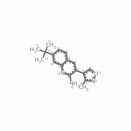 Cc1nocc1-c1cc2ccc(C(C)(C)C)cc2nc1N